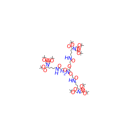 CC(C)(C)OC(=O)CN(CC(=O)OC(C)(C)C)C(CCCCNC(=O)CCOCC(N)(COCCC(=O)NCCCCC(C(=O)OC(C)(C)C)N(CC(=O)OC(C)(C)C)CC(=O)OC(C)(C)C)COCCC(=O)NCCCCC(C(=O)OC(C)(C)C)N(CC(=O)OC(C)(C)C)CC(=O)OC(C)(C)C)C(=O)OC(C)(C)C